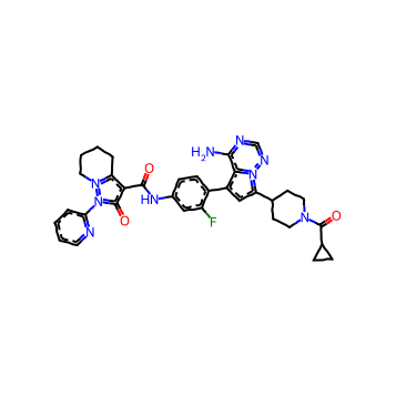 Nc1ncnn2c(C3CCN(C(=O)C4CC4)CC3)cc(-c3ccc(NC(=O)c4c5n(n(-c6ccccn6)c4=O)CCCC5)cc3F)c12